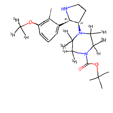 [2H]C([2H])([2H])Oc1cccc([C@H]2NCC[C@H]2N2C([2H])([2H])C([2H])([2H])N(C(=O)OC(C)(C)C)C([2H])([2H])C2([2H])[2H])c1C